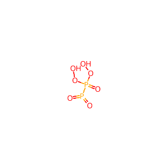 O=P(=O)P(=O)(OO)OO